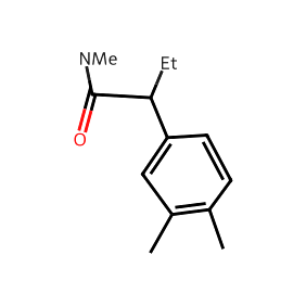 CCC(C(=O)NC)c1ccc(C)c(C)c1